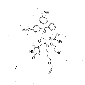 [C-]#[N+]CCOP(OC1C(COC(c2ccccc2)(c2ccc(OC)cc2)c2ccc(OC)cc2)OC(n2ccc(=O)[nH]c2=O)C1OCCCCOCC#C)N(C(C)C)C(C)C